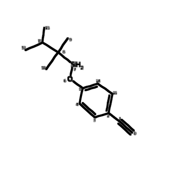 C#Cc1ccc(O[SiH2]C(C)(C)C(C)C)cc1